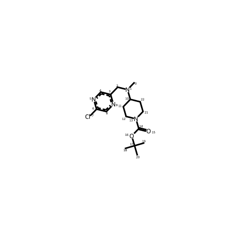 CN(Cc1cnc(Cl)cn1)C1CCN(C(=O)OC(C)(C)C)CC1